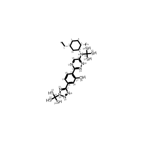 CC[C@@H]1CC[C@H](F)[C@H](N(c2cnc(-c3ccc(-c4nnn(C(S)(S)S)n4)cc3O)nn2)C(S)(S)S)C1